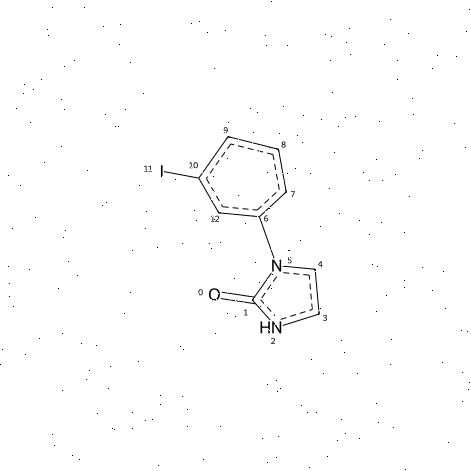 O=c1[nH]ccn1-c1cccc(I)c1